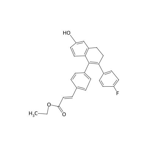 CCOC(=O)C=Cc1ccc(C2=C(c3ccc(F)cc3)CCc3cc(O)ccc32)cc1